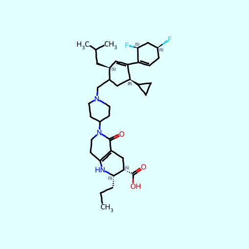 CCC[C@@H]1NC2=C(C[C@@H]1C(=O)O)C(=O)N(C1CCN(CC3C[C@H](C4CC4)C(C4=CC[C@H](F)C[C@@H]4F)=C[C@@H]3CC(C)C)CC1)CC2